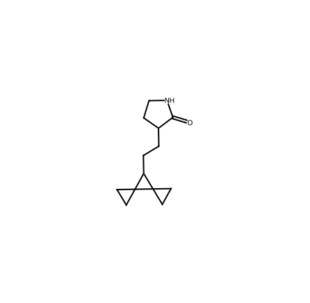 O=C1NCCC1CCC1C2(CC2)C12CC2